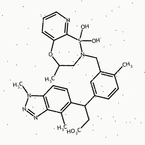 Cc1ccc(C(CC(=O)O)c2ccc3c(nnn3C)c2C)cc1CN1CC(C)Oc2cccnc2S1(O)O